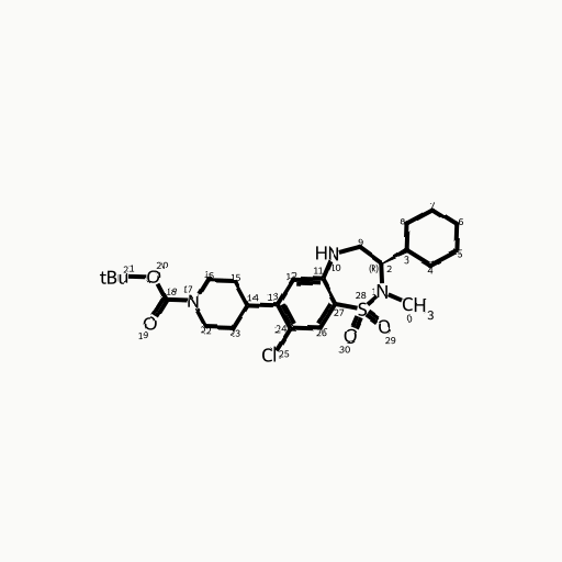 CN1[C@H](C2CCCCC2)CNc2cc(C3CCN(C(=O)OC(C)(C)C)CC3)c(Cl)cc2S1(=O)=O